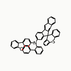 c1ccc(-c2ccccc2N(c2ccc3c(c2)C2(c4ccccc4Sc4ccccc42)c2cc4ccccc4cc2-3)c2ccc3c(c2)oc2ccccc23)cc1